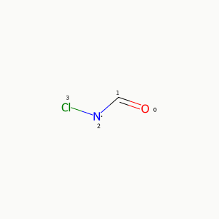 O=C[N]Cl